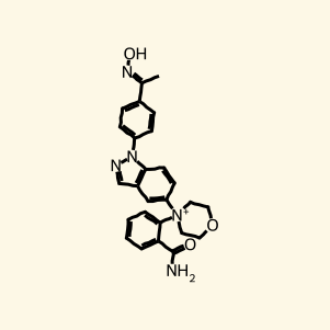 CC(=NO)c1ccc(-n2ncc3cc([N+]4(c5ccccc5C(N)=O)CCOCC4)ccc32)cc1